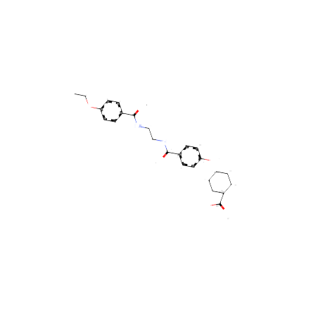 CCOc1ccc(C(=O)NCCNC(=O)c2ccc(O[C@H]3CC[C@](C)(C(=O)O)CC3)cc2)cc1